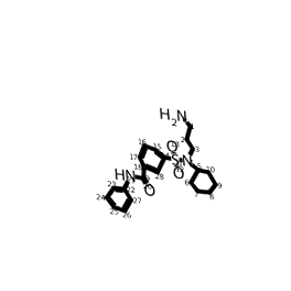 NCCCN(C1CCCCC1)S(=O)(=O)c1cccc(C(=O)Nc2ccccc2)c1